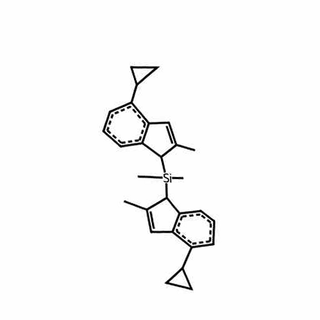 CC1=Cc2c(C3CC3)cccc2C1[Si](C)(C)C1C(C)=Cc2c(C3CC3)cccc21